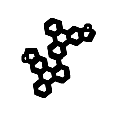 c1ccc2c(c1)c1ccc(-c3cccc4c5ccccc5c5cc6occc6cc5c34)cc1c1cc3ccoc3cc21